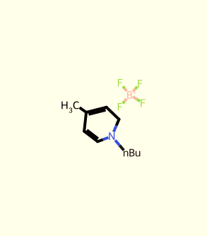 CCCCN1C=CC(C)=CC1.F[B-](F)(F)F